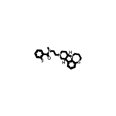 CN(CCN1CC[C@H]2[C@@H](C1)c1cccc3c1N2CCCS3)C(=O)c1ccccc1F